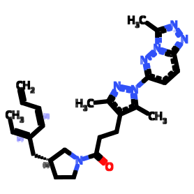 C=C/C=C\C(=C/C)C[C@H]1CCN(C(=O)CCc2c(C)nn(-c3ccc4nnc(C)n4n3)c2C)C1